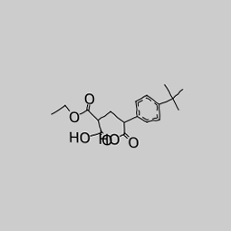 CCOC(=O)C(CC(C(=O)O)c1ccc(C(C)(C)C)cc1)C(=O)O